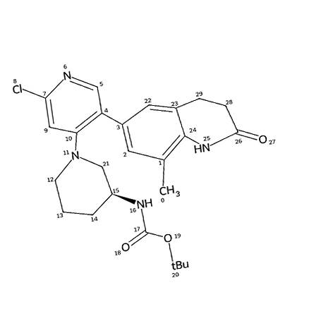 Cc1cc(-c2cnc(Cl)cc2N2CCC[C@H](NC(=O)OC(C)(C)C)C2)cc2c1NC(=O)CC2